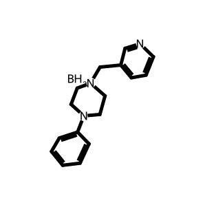 B.c1ccc(N2CCN(Cc3cccnc3)CC2)cc1